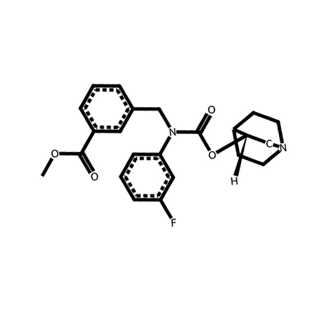 COC(=O)c1cccc(CN(C(=O)O[C@H]2CN3CCC2CC3)c2cccc(F)c2)c1